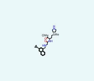 C1CCNC1.COC(=O)C(CCSC)NC(=O)CNCc1cc(C2CC2)cc2ccccc12